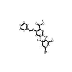 COC(=O)c1cc(Oc2c(Cl)cc(Br)cc2Cl)ncc1OCc1ccccc1